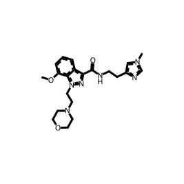 COc1cccc2c(C(=O)NCCc3cn(C)cn3)nn(CCN3CCOCC3)c12